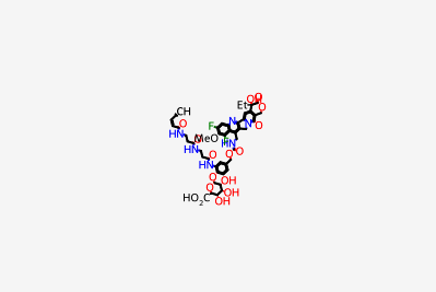 C#C/C=C\C(=O)NCCC(=O)NCCC(=O)Nc1cc(COC(=O)NCc2c3c(nc4cc(F)c(OC)c(F)c24)-c2cc4c(c(=O)n2C3)COC(=O)[C@]4(O)CC)ccc1O[C@@H]1O[C@H](C(=O)O)[C@@H](O)[C@H](O)[C@H]1O